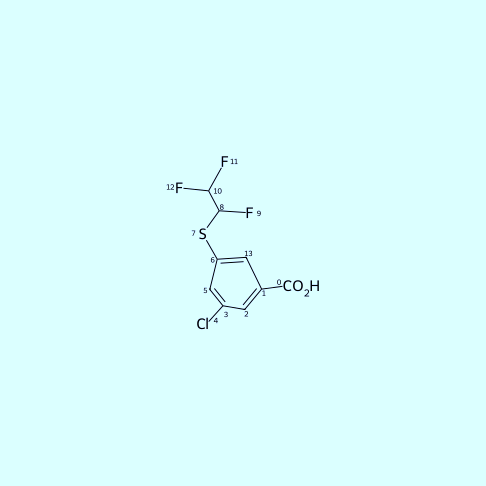 O=C(O)c1cc(Cl)cc(SC(F)C(F)F)c1